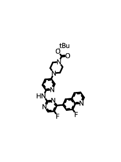 CC(C)(C)OC(=O)N1CCN(c2ccc(Nc3ncc(F)c(-c4cc(F)c5ncccc5c4)n3)nc2)CC1